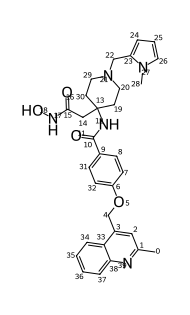 Cc1cc(COc2ccc(C(=O)NC3(CC(=O)NO)CCN(Cc4cccn4C)CC3)cc2)c2ccccc2n1